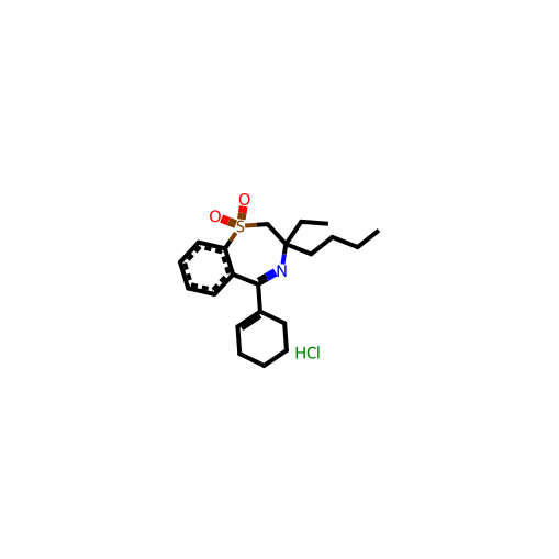 CCCCC1(CC)CS(=O)(=O)c2ccccc2C(C2=CCCCC2)=N1.Cl